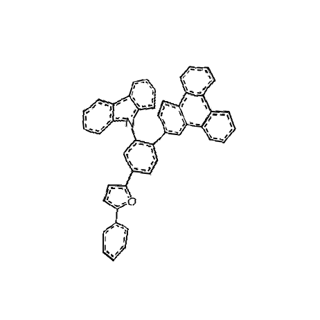 c1ccc(-c2ccc(-c3ccc(-c4ccc5c6ccccc6c6ccccc6c5c4)c(-n4c5ccccc5c5ccccc54)c3)o2)cc1